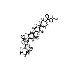 CCOC(=O)C1CCN(c2ccc(-c3ccc(N4CC([C@H](C)C(N)=O)OC4=O)cc3F)cn2)CC1